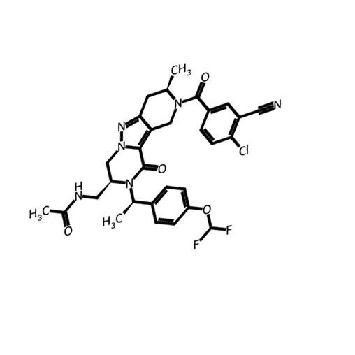 CC(=O)NC[C@H]1Cn2nc3c(c2C(=O)N1[C@H](C)c1ccc(OC(F)F)cc1)CN(C(=O)c1ccc(Cl)c(C#N)c1)[C@H](C)C3